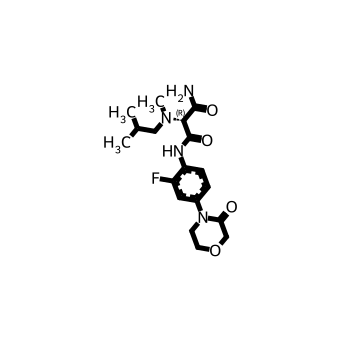 CC(C)CN(C)[C@H](C(N)=O)C(=O)Nc1ccc(N2CCOCC2=O)cc1F